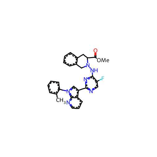 COC(=O)C1Cc2ccccc2CN1Nc1nc(-c2cn(-c3ccccc3C)c3ncccc23)ncc1F